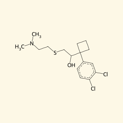 CN(C)CCSCC(O)C1(c2ccc(Cl)c(Cl)c2)CCC1